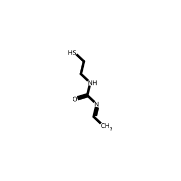 CC=NC(=O)NCCS